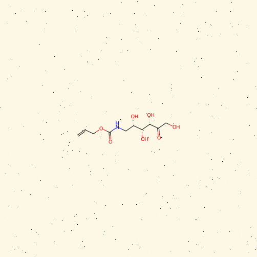 C=CCOC(=O)NC[C@H](O)[C@@H](O)[C@H](O)C(=O)CO